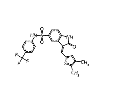 Cc1cc(C=C2C(=O)Nc3ccc(S(=O)(=O)Nc4ccc(C(F)(F)F)cc4)cc32)sc1C